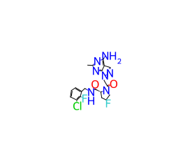 Cc1nc(N)c2cnn(CC(=O)N3C[C@H](F)C[C@H]3C(=O)NCc3cccc(Cl)c3F)c2n1